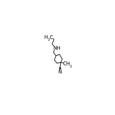 CCCNCC1CCC(C)(C#N)CC1